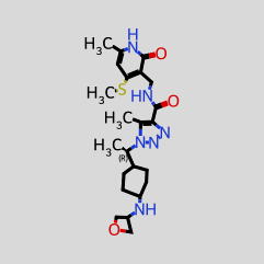 CSc1cc(C)[nH]c(=O)c1CNC(=O)c1nnn([C@H](C)C2CCC(NC3COC3)CC2)c1C